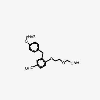 CCCCCCOc1ccc(Cc2cc(C=O)ccc2OCCOCOC)cc1